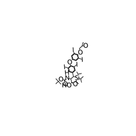 CC(C)[Si](C(C)C)(C(C)C)C(c1cc(I)c(Oc2cc(I)c(OCC3CO3)c(I)c2)c(I)c1)C(NC(=O)OC(C)(C)C)C(=O)O